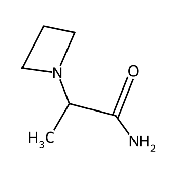 CC(C(N)=O)N1CCC1